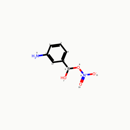 Nc1cccc(B(O)O[N+](=O)[O-])c1